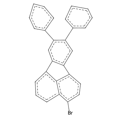 Brc1ccc2c3c(cccc13)-c1cc(-c3ccccc3)c(-c3ccccc3)cc1-2